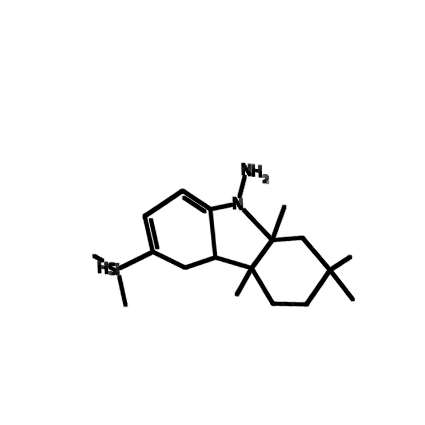 C[SiH](C)C1=CC=C2C(C1)C1(C)CCC(C)(C)CC1(C)N2N